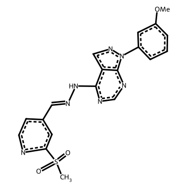 COc1cccc(-n2ncc3c(N/N=C/c4ccnc(S(C)(=O)=O)c4)ncnc32)c1